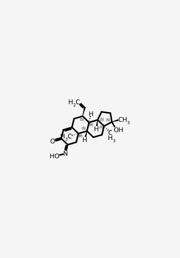 C=C[C@@H]1CC2=CC(=O)C(=NO)C[C@]2(C)[C@H]2CC[C@@]3(C)[C@@H](CC[C@]3(C)O)[C@H]12